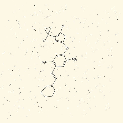 Cc1cc(Oc2nc(C3(Cl)CC3)c(Cl)s2)c(C)cc1/N=C/N1CCCCC1